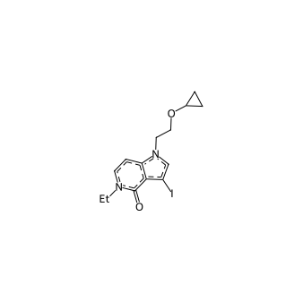 CCn1ccc2c(c(I)cn2CCOC2CC2)c1=O